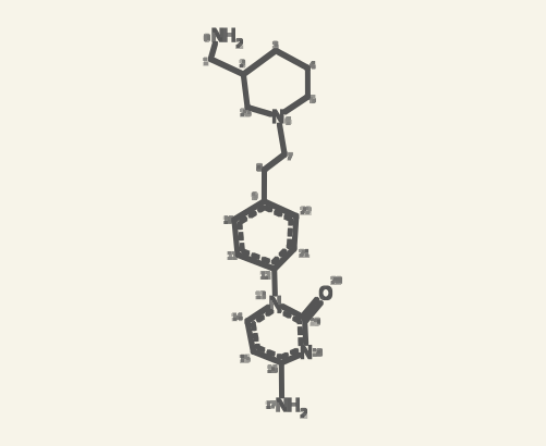 NCC1CCCN(CCc2ccc(-n3ccc(N)nc3=O)cc2)C1